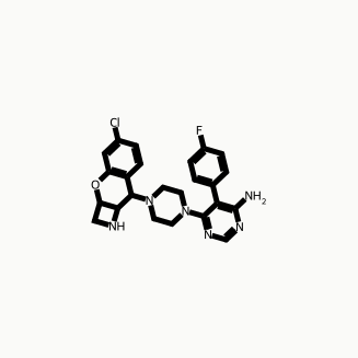 Nc1ncnc(N2CCN(C3c4ccc(Cl)cc4OC4CNC43)CC2)c1-c1ccc(F)cc1